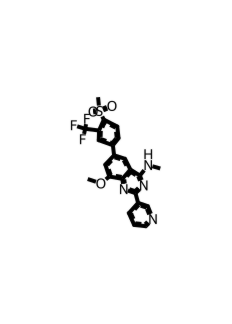 CNc1nc(-c2cccnc2)nc2c(OC)cc(-c3ccc(S(C)(=O)=O)c(C(F)(F)F)c3)cc12